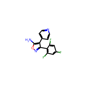 Nc1onc(-c2c(F)cc(F)cc2F)c1-c1ccncc1